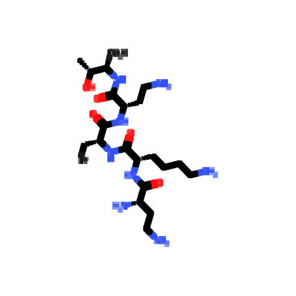 CC(C)C[C@@H](NC(=O)[C@H](CCCCN)NC(=O)[C@@H](N)CCN)C(=O)N[C@@H](CCN)C(=O)N[C@H](C(=O)O)[C@@H](C)O